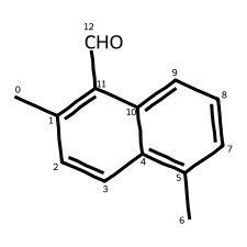 Cc1ccc2c(C)cccc2c1C=O